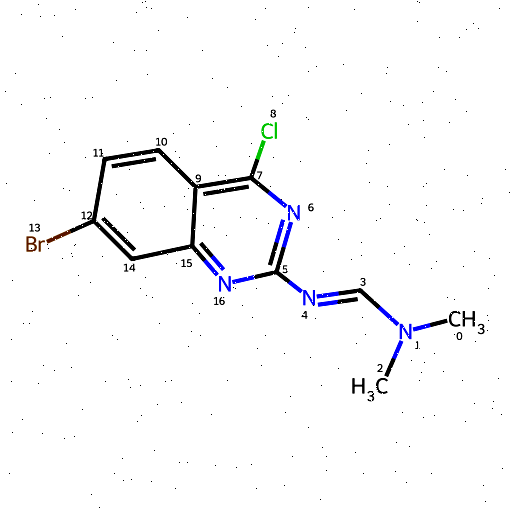 CN(C)/C=N/c1nc(Cl)c2ccc(Br)cc2n1